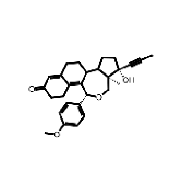 CC#C[C@]1(O)CCC2C3CCC4=CC(=O)CCC4=C3[C@@H](c3ccc(OC)cc3)OC[C@@]21C